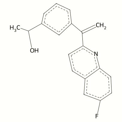 C=C(c1cccc(C(C)O)c1)c1ccc2cc(F)ccc2n1